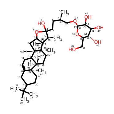 C[C@H](CCC1(O)OC2C[C@H]3[C@@H]4CC=C5CC(C(C)(C)C)CC[C@]5(C)[C@H]4CC[C@]3(C)[C@H]2[C@@H]1C)CO[C@@H]1OC(CO)[C@@H](O)C(O)[C@@H]1O